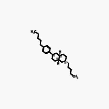 CCCCCc1ccc([C@@H]2CC[C@H]3C[C@@H](CCCCC)CC[C@@H]3C2)cc1